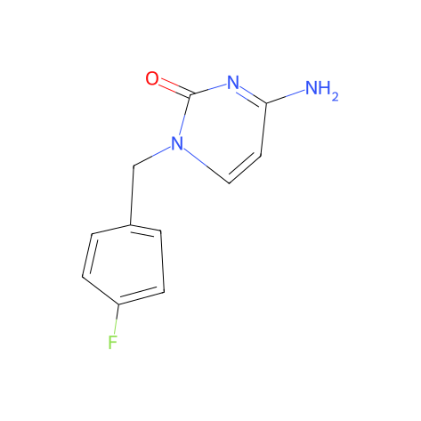 Nc1ccn(Cc2ccc(F)cc2)c(=O)n1